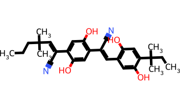 CCCC(C)(C)/C=C(\C#N)c1cc(O)c(/C(C#N)=C/c2cc(O)c(C(C)(C)CC)cc2O)cc1O